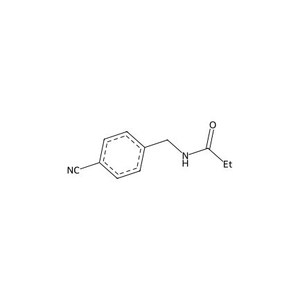 CCC(=O)NCc1ccc(C#N)cc1